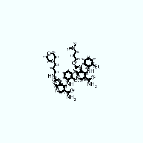 CCc1ccccc1Nc1c(C(N)=O)cnc2sc(NCCCN3CCOCC3)nc12.CCc1ccccc1Nc1c(C(N)=O)cnc2sc(OCCCN(C)C)nc12